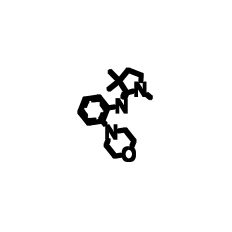 CN1CCC(C)(C)C1=Nc1ccccc1N1CCOCC1